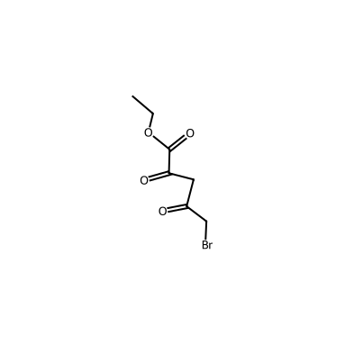 CCOC(=O)C(=O)CC(=O)CBr